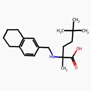 CC(C)(C)CCC(C)(NCc1ccc2c(c1)CCCC2)C(=O)O